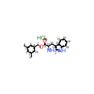 Cc1cc(C)cc(COC(=O)C(N)Cc2c[nH]c3ccccc23)c1.Cl